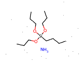 CCCC[Si](OCCC)(OCCC)OCCC.N